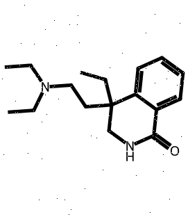 CCN(CC)CCC1(CC)CNC(=O)c2ccccc21